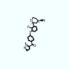 Cn1nccc1C(=O)c1ccc(Sc2cccc([C@]3(C)C[C@H](C#N)CCO3)c2F)cc1